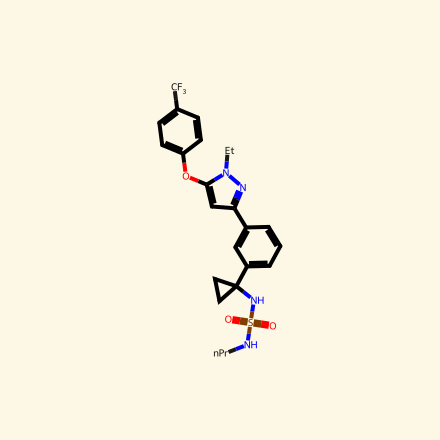 CCCNS(=O)(=O)NC1(c2cccc(-c3cc(Oc4ccc(C(F)(F)F)cc4)n(CC)n3)c2)CC1